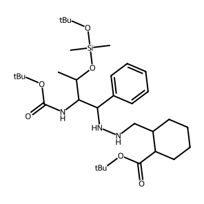 CC(O[Si](C)(C)OC(C)(C)C)C(NC(=O)OC(C)(C)C)C(NNCC1CCCCC1C(=O)OC(C)(C)C)c1ccccc1